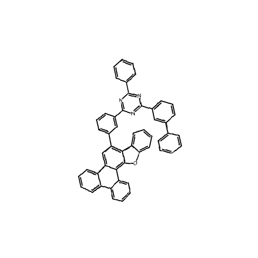 c1ccc(-c2cccc(-c3nc(-c4ccccc4)nc(-c4cccc(-c5cc6c7ccccc7c7ccccc7c6c6oc7ccccc7c56)c4)n3)c2)cc1